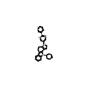 c1ccc(-c2ncc(-n3ccc4c3ccc3c5ccccc5n(-c5ccccc5)c34)cn2)cc1